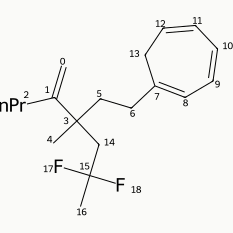 C=C(CCC)C(C)(CCC1=CC=CC=CC1)CC(C)(F)F